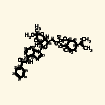 C=C(C)[C@H]1CC[C@@]2(C)SP(=S)(OC[C@H]3O[C@@H](n4cnc5c(NC(=O)c6ccccc6)ncnc54)[C@@H]4OC(C)(C)O[C@@H]43)OC2C1